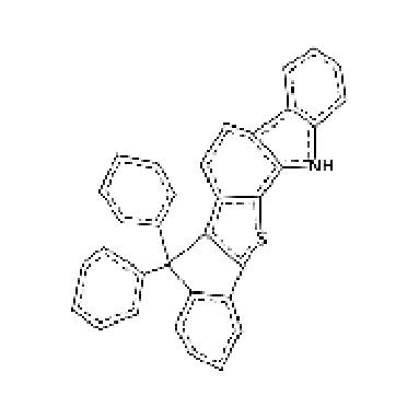 c1ccc(C2(c3ccccc3)c3ccccc3-c3sc4c(ccc5c6ccccc6[nH]c54)c32)cc1